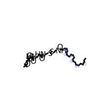 CC/C=C\C/C=C\C/C=C\C/C=C\C/C=C\C/C=C\CC(=O)NCCSSCCNC(=O)CCNC(=O)[C@H](OC)C(C)(C)COC(C)(C)C